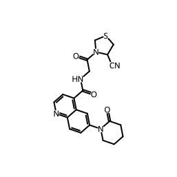 N#CC1CSCN1C(=O)CNC(=O)c1ccnc2ccc(N3CCCCC3=O)cc12